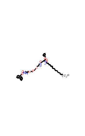 O=C(O)CCCCCCCCCCCCCCC(=O)NC(CCC(=O)NCCCOCCOCCOCCCNC(=O)OCC1c2ccccc2-c2ccccc21)C(=O)OCc1ccccc1